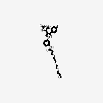 O=C(CCOCCOCCOCCO)Nc1cccc(-n2cc(C3NC(=O)NC3=O)c(-c3ccc(F)cc3)n2)c1